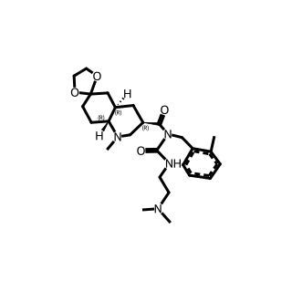 Cc1ccccc1CN(C(=O)NCCN(C)C)C(=O)[C@@H]1C[C@@H]2CC3(CC[C@H]2N(C)C1)OCCO3